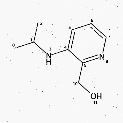 CC(C)Nc1cccnc1CO